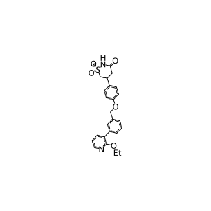 CCOc1ncccc1-c1cccc(COc2ccc(C3CC(=O)NS(=O)(=O)C3)cc2)c1